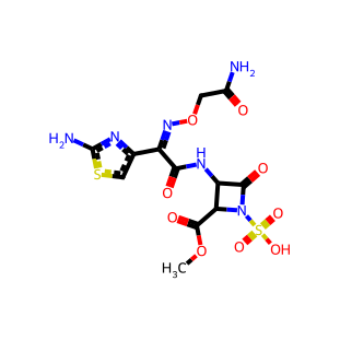 COC(=O)C1C(NC(=O)/C(=N\OCC(N)=O)c2csc(N)n2)C(=O)N1S(=O)(=O)O